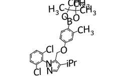 Cc1cc(OCc2c(C(C)C)cnn2-c2c(Cl)cccc2Cl)ccc1B1OC(C)(C)C(C)(C)O1